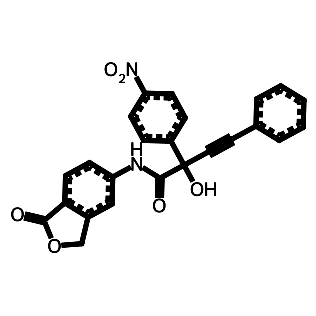 O=C1OCc2cc(NC(=O)C(O)(C#Cc3ccccc3)c3ccc([N+](=O)[O-])cc3)ccc21